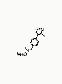 CON(C)Cc1ccc(-c2scnc2C)cc1